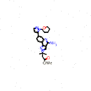 COC(=O)CC(C)(C)n1cc2c(N)nc3cc(-c4ccnn4C4CCCCO4)ccc3c2n1